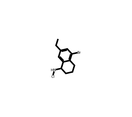 CCc1cc(Br)c2c(c1)C(NCl)CCC2